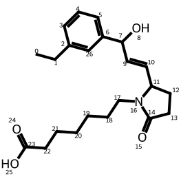 CCc1cccc(C(O)C=CC2CCC(=O)N2CCCCCCC(=O)O)c1